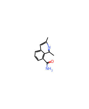 Cc1cc2cccc(C(N)=O)c2c(C)n1